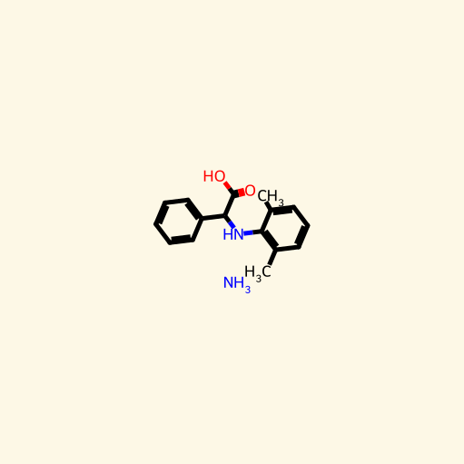 Cc1cccc(C)c1NC(C(=O)O)c1ccccc1.N